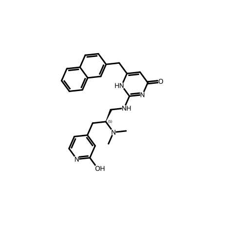 CN(C)[C@H](CNc1nc(=O)cc(Cc2ccc3ccccc3c2)[nH]1)Cc1ccnc(O)c1